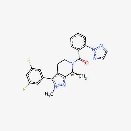 C[C@H]1c2nn(C)c(-c3cc(F)cc(F)c3)c2CCN1C(=O)c1ccccc1-n1nccn1